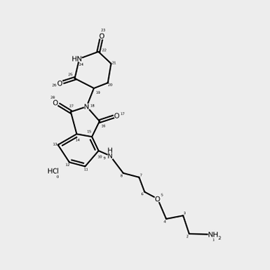 Cl.NCCCOCCCNc1cccc2c1C(=O)N(C1CCC(=O)NC1=O)C2=O